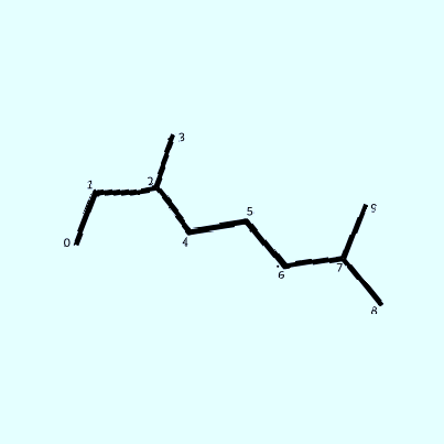 CCC(C)CC[CH]C(C)C